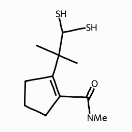 CNC(=O)C1=C(C(C)(C)C(S)S)CCC1